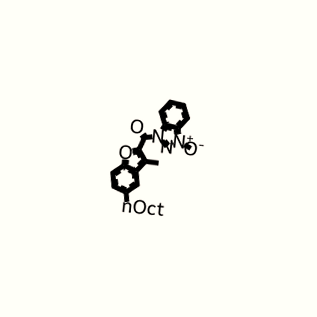 CCCCCCCCc1ccc2oc(C(=O)n3n[n+]([O-])c4ccccc43)c(C)c2c1